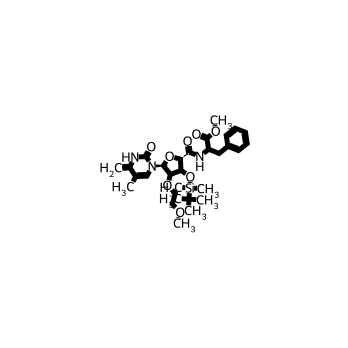 C=C1NC(=O)N([C@H]2O[C@H](C(=O)NC(Cc3ccccc3)C(=O)OC)C(O[Si](C)(C)C(C)(C)C)C2OCCOC)C=C1C